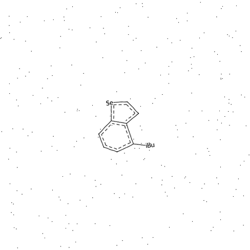 CCC(C)c1cccc2[se]ccc12